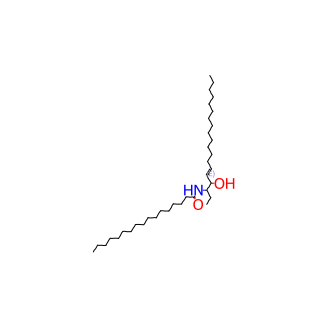 CCCCCCCCCCCCC/C=C/C(O)C(CC)NC(=O)CCCCCCCCCCCCCCCC